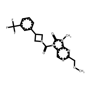 COCc1ncc2c(n1)n(C)c(=O)n2C(=O)N1CC(c2cccc(C(F)(F)F)c2)C1